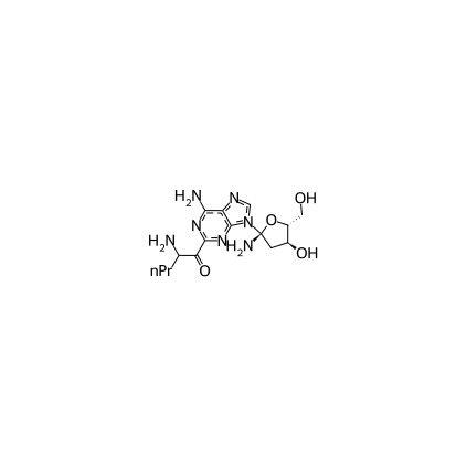 CCCC(N)C(=O)c1nc(N)c2ncn([C@@]3(N)C[C@H](O)[C@@H](CO)O3)c2n1